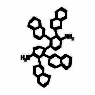 Nc1ccc(-c2ccc(N)c(-c3ccc4ccccc4c3)c2-c2ccc3ccccc3c2)c(-c2ccc3ccccc3c2)c1-c1ccc2ccccc2c1